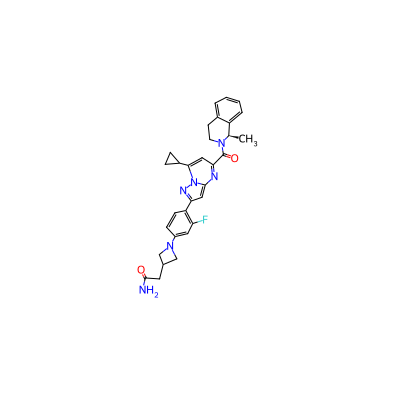 C[C@@H]1c2ccccc2CCN1C(=O)c1cc(C2CC2)n2nc(-c3ccc(N4CC(CC(N)=O)C4)cc3F)cc2n1